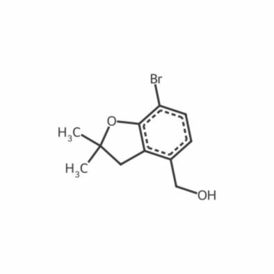 CC1(C)Cc2c(CO)ccc(Br)c2O1